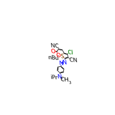 CCCCOC(=O)C(C#N)=Cc1sc(N=Nc2ccc(N(C)C(C)C)cc2)c(C#N)c1Cl